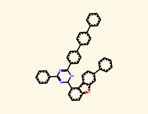 c1ccc(C2=NC(c3cccc4oc5cc(-c6ccccc6)ccc5c34)NC(c3ccc(-c4ccc(-c5ccccc5)cc4)cc3)=N2)cc1